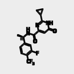 C[C@@H](NC(=O)c1cc(=O)[nH]c(C2CC2)n1)c1ccc(C(F)(F)F)c(F)c1